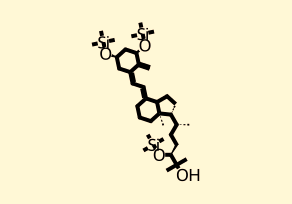 C=C1/C(=C\C=C2CCC[C@@]3(C)C2CC[C@@H]3[C@H](C)CC[C@H](O[Si](C)(C)C)C(C)(C)O)C[C@@H](O[Si](C)(C)C)C[C@H]1O[Si](C)(C)C